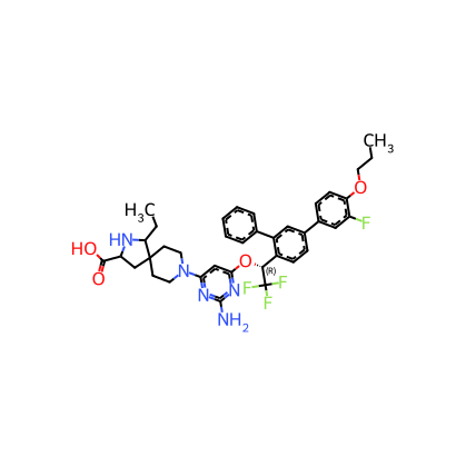 CCCOc1ccc(-c2ccc([C@@H](Oc3cc(N4CCC5(CC4)CC(C(=O)O)NC5CC)nc(N)n3)C(F)(F)F)c(-c3ccccc3)c2)cc1F